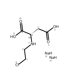 O=C(O)C[C@H](NCCCl)C(=O)O.[NaH].[NaH]